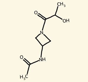 CC(=O)NC1CN(C(=O)C(C)O)C1